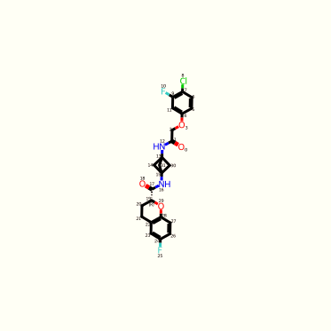 O=C(COc1ccc(Cl)c(F)c1)NC12CC(NC(=O)[C@H]3CCc4cc(F)ccc4O3)(C1)C2